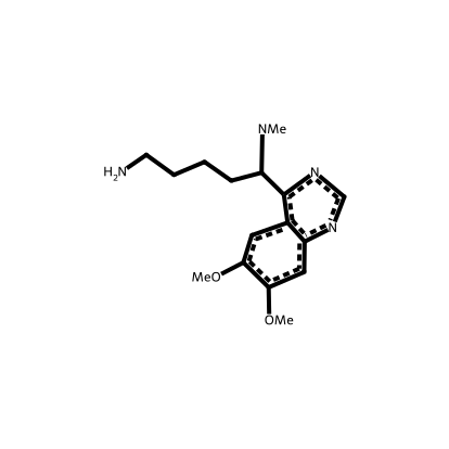 CNC(CCCCN)c1ncnc2cc(OC)c(OC)cc12